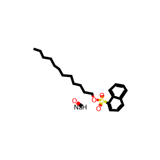 C=O.CCCCCCCCCCCCOS(=O)(=O)c1cccc2ccccc12.[NaH]